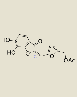 CC(=O)OCc1ccc(/C=C2/Oc3c(ccc(O)c3O)C2=O)o1